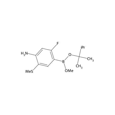 COB(OC(C)(C)C(C)C)c1cc(SC)c(N)cc1F